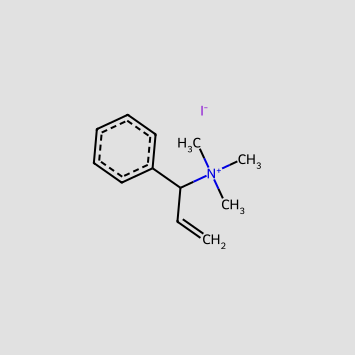 C=CC(c1ccccc1)[N+](C)(C)C.[I-]